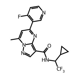 Cc1cc(-c2cnccc2F)nc2c(C(=O)NC(C3CC3)C(F)(F)F)cnn12